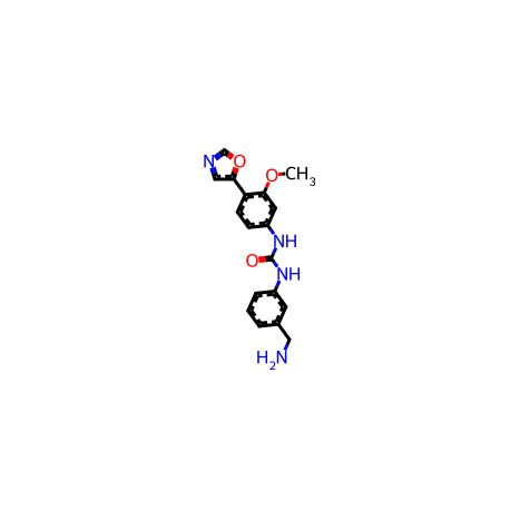 COc1cc(NC(=O)Nc2cccc(CN)c2)ccc1-c1cnco1